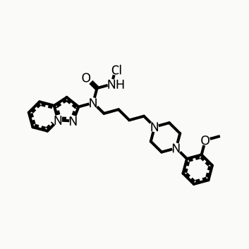 COc1ccccc1N1CCN(CCCCN(C(=O)NCl)c2cc3ccccn3n2)CC1